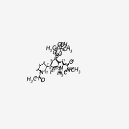 CC(=O)N1CCCC(c2cc(B3OC(C)(C)C(C)(C)O3)c3cc(C(=O)N(C)C)[nH]c3c2F)C1